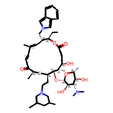 CC[C@H]1OC(=O)C[C@@H](O)[C@H](C)[C@@H](O[C@@H]2O[C@H](C)[C@@H](O)[C@H](N(C)C)[C@H]2O)[C@@H](CCN2CC(C)CC(C)C2)C[C@@H](C)C(=O)/C=C/C(C)=C/[C@@H]1Cn1cc2ccccc2c1